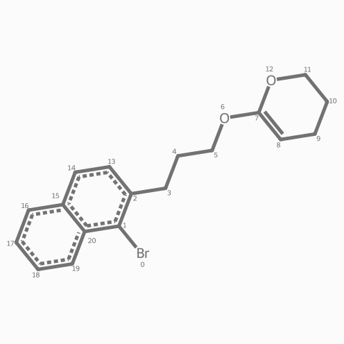 Brc1c(CCCOC2=CCCCO2)ccc2ccccc12